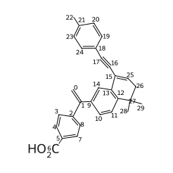 C=C(c1ccc(C(=O)O)cc1)c1ccc2c(c1)C(C#Cc1ccc(C)cc1)=CCC2(C)C